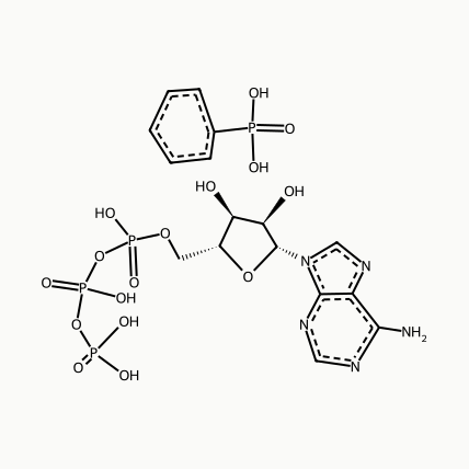 Nc1ncnc2c1ncn2[C@@H]1O[C@H](COP(=O)(O)OP(=O)(O)OP(=O)(O)O)[C@@H](O)[C@H]1O.O=P(O)(O)c1ccccc1